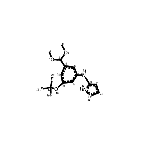 COC(OC)c1cc(Nc2ccn[nH]2)cc(OC(F)(F)F)c1